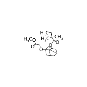 CCC(C)(C)C(=O)OC12CC3CC(CC(OCC(=O)OC)(C3)C1)C2